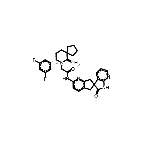 C=C1N(CC(=O)Nc2ccc3c(n2)CC2(C3)C(=O)Nc3ncccc32)[C@H](c2cc(F)cc(F)c2)CCC12CCCC2